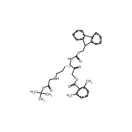 Cc1cccc(C)c1C(=O)OCC(=O)[C@H](CCCNCC(=O)OC(C)(C)C)NC(=O)OCC1c2ccccc2-c2ccccc21